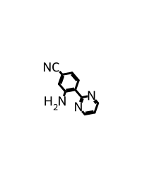 N#Cc1ccc(-c2ncccn2)c(N)c1